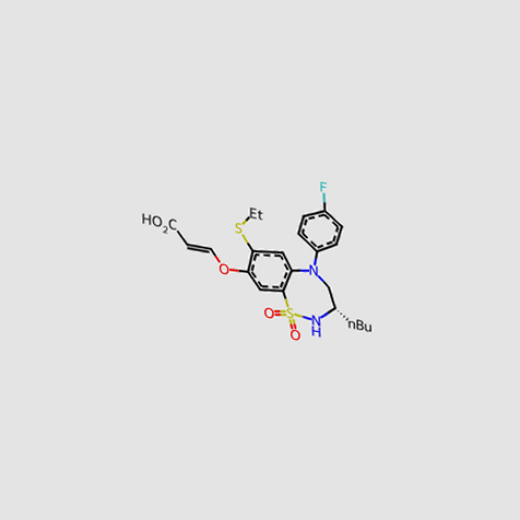 CCCC[C@H]1CN(c2ccc(F)cc2)c2cc(SCC)c(O/C=C/C(=O)O)cc2S(=O)(=O)N1